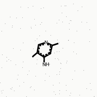 Cc1cc([NH])c(C)cn1